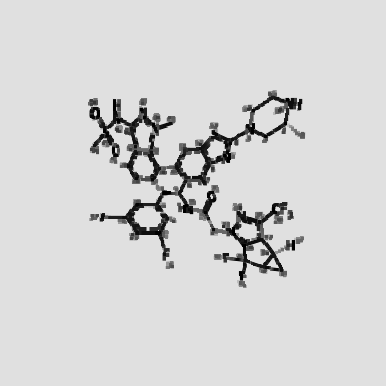 C[C@@H]1CN(c2nc3nc([C@H](Cc4cc(F)cc(F)c4)NC(=O)Cn4nc(C(F)(F)F)c5c4C(F)(F)C4C[C@H]54)c(-c4cccc5c(NS(C)(=O)=O)nn(C)c45)cc3s2)CCN1